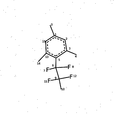 Cc1cc(C)c(C(F)(F)C(C)(F)F)c(C)c1